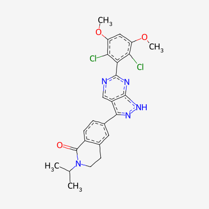 COc1cc(OC)c(Cl)c(-c2ncc3c(-c4ccc5c(c4)CCN(C(C)C)C5=O)n[nH]c3n2)c1Cl